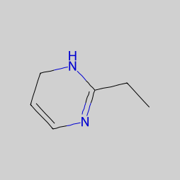 CCC1=NC=CCN1